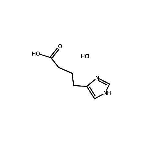 Cl.O=C(O)CCCc1c[nH]cn1